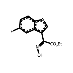 CCOC(=O)C(=NO)c1csc2ccc(F)cc12